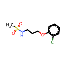 CS(=O)(=O)NCCCOc1c[c]ccc1Cl